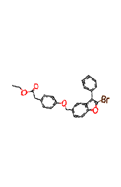 CCOC(=O)Cc1ccc(OCc2ccc3oc(Br)c(-c4ccccc4)c3c2)cc1